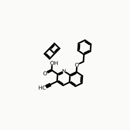 C#Cc1cc2cccc(OCc3ccccc3)c2nc1C(=O)O.c1cc2ccc1-2